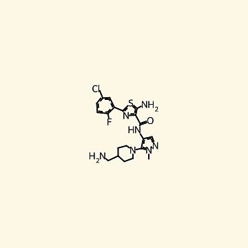 Cn1ncc(NC(=O)c2nc(-c3cc(Cl)ccc3F)sc2N)c1N1CCC(CN)CC1